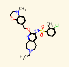 CCN1CCc2cc(NS(=O)(=O)c3cccc(Cl)c3C)c(OCc3ccc4c(c3)OCCN4C)nc2CC1